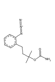 CC(C)(CCc1ccccc1N=[N+]=[N-])OC(N)=O